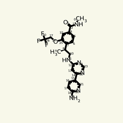 CNC(=O)c1ccc([C@H](C)CNc2cc(-c3ccc(N)nc3)ncn2)c(OCC(F)(F)F)c1